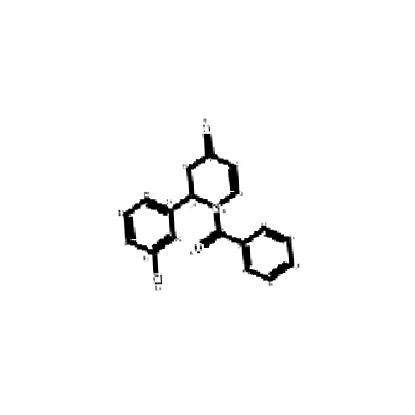 O=C1C=CN(C(=O)c2ccccc2)C(c2cccc(Cl)c2)C1